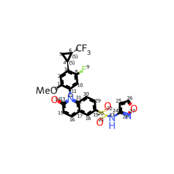 COc1cc([C@H]2C[C@@H]2C(F)(F)F)c(F)cc1-n1c(=O)ccc2cc(S(=O)(=O)Nc3ccon3)ccc21